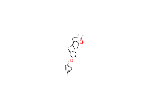 CC(=O)[C@@]1(C)CCC2C3CC=C4C[C@@H](OCc5ccc(C)cc5)CC[C@]4(C)C3CC[C@@]21C